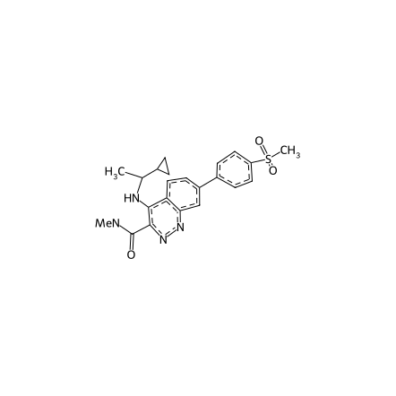 CNC(=O)c1nnc2cc(-c3ccc(S(C)(=O)=O)cc3)ccc2c1NC(C)C1CC1